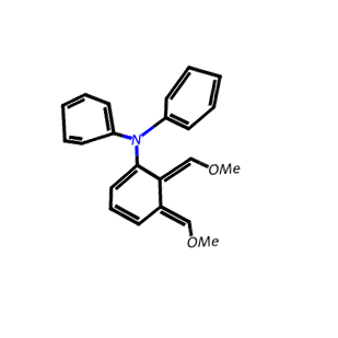 COC=c1cccc(N(c2ccccc2)c2ccccc2)c1=COC